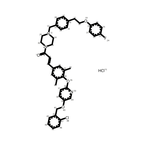 Cc1cc(/C=C/C(=O)N2CCN(Cc3ccc(CCOc4ccc(F)cc4)cc3)CC2)cc(C)c1Oc1ccc(OCc2ccccc2Cl)cn1.Cl